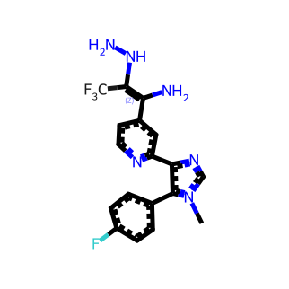 Cn1cnc(-c2cc(/C(N)=C(/NN)C(F)(F)F)ccn2)c1-c1ccc(F)cc1